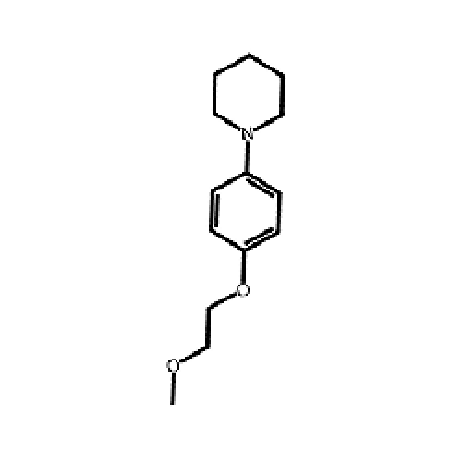 COCCOc1ccc(N2CC[CH]CC2)cc1